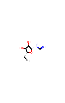 CC[C@H]1O[C@@H](NC=N)C(O)C1O